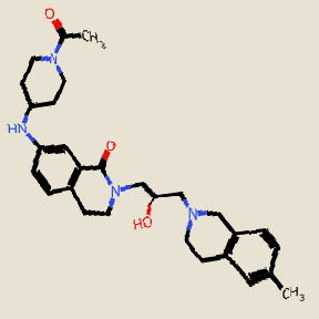 CC(=O)N1CCC(Nc2ccc3c(c2)C(=O)N(C[C@H](O)CN2CCc4cc(C)ccc4C2)CC3)CC1